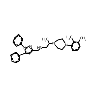 Cc1cccc(N2CCN(C(C)CNCc3cc(-c4ccccc4)n(-c4ccccc4)n3)CC2)c1C